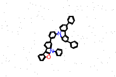 c1ccc(-c2ccc3c(c2)c2cc(-c4ccccc4)ccc2n3-c2cccc(-c3ccc4c5c6ccccc6oc5n(-c5ccccc5)c4c3)c2)cc1